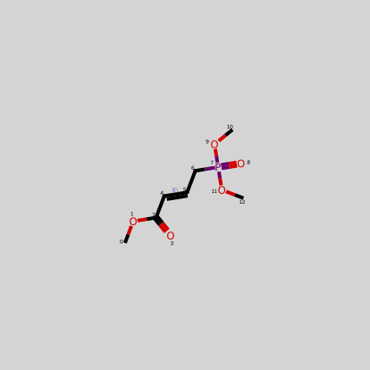 COC(=O)/C=C/CP(=O)(OC)OC